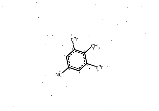 CCCc1cc(C#N)cc(CCC)c1C